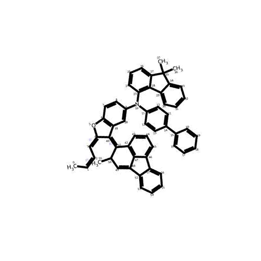 C\C=C/C=c1/oc2ccc(N(c3ccc(-c4ccccc4)cc3)c3cccc4c3-c3ccccc3C4(C)C)cc2/c1=C1\c2cccc3c2C(=CC1C)c1ccccc1-3